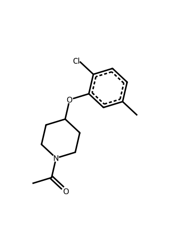 CC(=O)N1CCC(Oc2cc(C)ccc2Cl)CC1